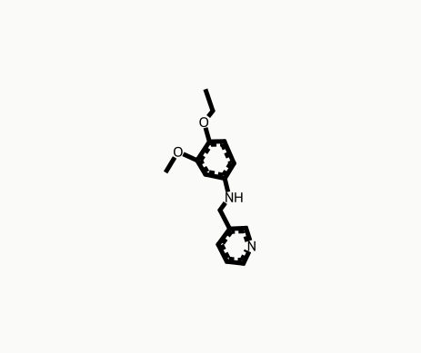 CCOc1ccc(NCc2cccnc2)cc1OC